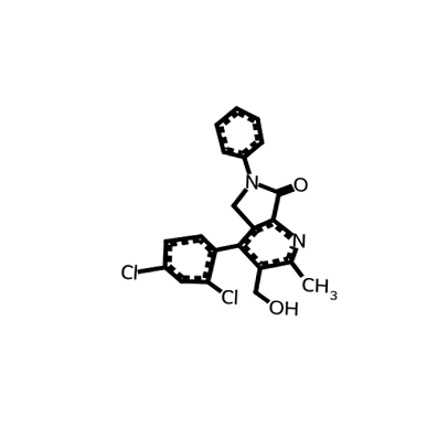 Cc1nc2c(c(-c3ccc(Cl)cc3Cl)c1CO)CN(c1ccccc1)C2=O